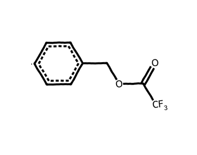 O=C(OCc1cc[c]cc1)C(F)(F)F